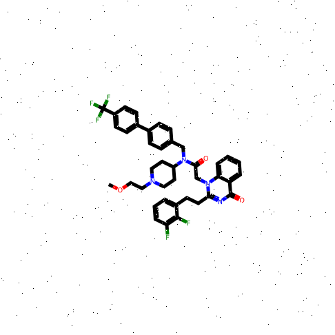 COCCN1CCC(N(Cc2ccc(-c3ccc(C(F)(F)F)cc3)cc2)C(=O)Cn2c(CCc3cccc(F)c3F)nc(=O)c3ccccc32)CC1